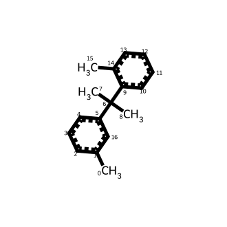 Cc1cccc(C(C)(C)c2ccccc2C)c1